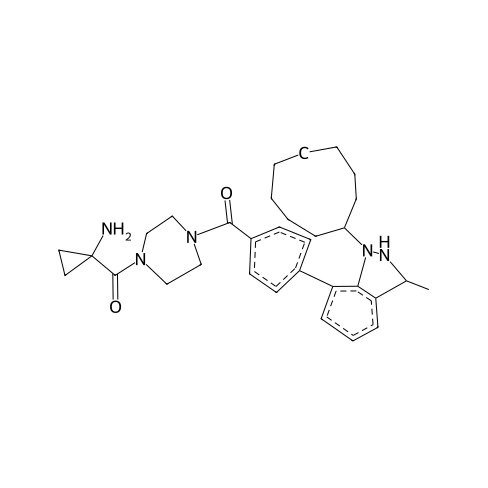 CC1NN(C2CCCCCCCC2)c2c(-c3ccc(C(=O)N4CCN(C(=O)C5(N)CC5)CC4)cc3)cccc21